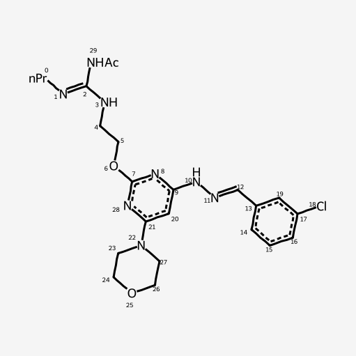 CCCN=C(NCCOc1nc(NN=Cc2cccc(Cl)c2)cc(N2CCOCC2)n1)NC(C)=O